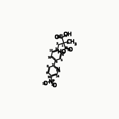 CC(Cc1ccc(-c2ccc([N+](=O)[O-])cn2)cc1)(C(=O)O)C(=O)O